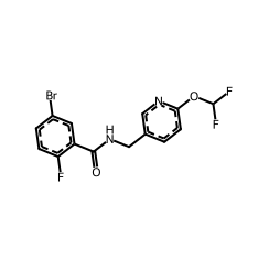 O=C(NCc1ccc(OC(F)F)nc1)c1cc(Br)ccc1F